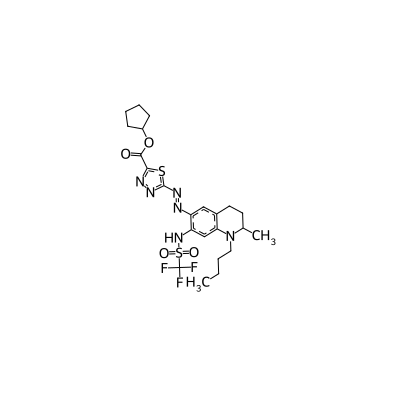 CCCCN1c2cc(NS(=O)(=O)C(F)(F)F)c(N=Nc3nnc(C(=O)OC4CCCC4)s3)cc2CCC1C